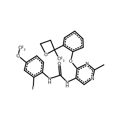 Cc1ncc(NC(=O)Nc2ccc(OC(F)(F)F)cc2F)c(Oc2ccccc2C2(C(F)(F)F)CCO2)n1